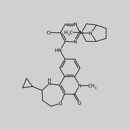 CN1CC2CCC(C1)N2c1ncc(Cl)c(Nc2ccc3c(c2)c2c(c(=O)n3C)OCCC(C3CC3)N2)n1